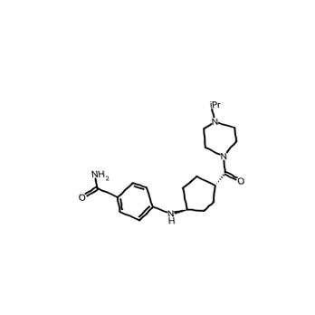 CC(C)N1CCN(C(=O)[C@H]2CC[C@H](Nc3ccc(C(N)=O)cc3)CC2)CC1